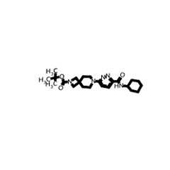 CC(C)(C)OC(=O)N1CC2(CCN(c3ccc(C(=O)NC4CCCCC4)nn3)CC2)C1